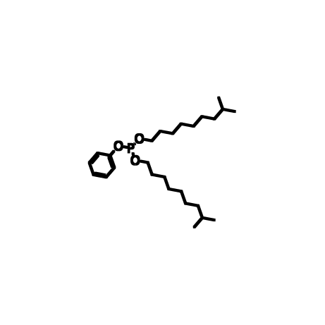 CC(C)CCCCCCCOP(OCCCCCCCC(C)C)Oc1ccccc1